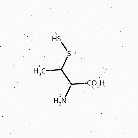 CC(SS)C(N)C(=O)O